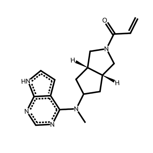 C=CC(=O)N1C[C@H]2CC(N(C)c3ncnc4[nH]ccc34)C[C@H]2C1